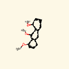 CCCCOc1cccc2cc3cccc(OCCCC)c3c(OCCCC)c12